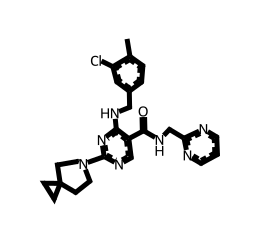 Cc1ccc(CNc2nc(N3CCC4(CC3)CC4)ncc2C(=O)NCc2ncccn2)cc1Cl